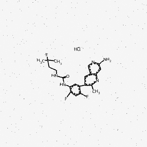 Cc1nc2cc(N)ncc2cc1-c1cc(NC(=O)NCCC(C)(C)F)c(F)cc1F.Cl